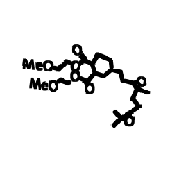 COCCOC(=O)C1CCC(CCC2OC2(C)CCC2OC2(C)C)CC1C(=O)OCCOC